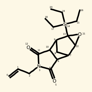 C=CCN1C(=O)C2C3CC(C2C1=O)C1([Si](CC)(CC)CC)OC31